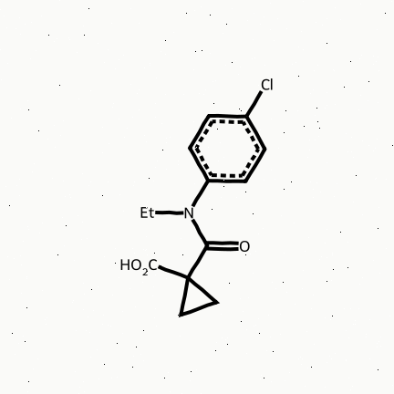 CCN(C(=O)C1(C(=O)O)CC1)c1ccc(Cl)cc1